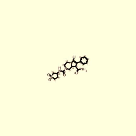 NC(=O)C1C(c2ccccc2)=C(Cl)N2CCN(C(=O)NC3CCS(=O)(=O)C3)CC12